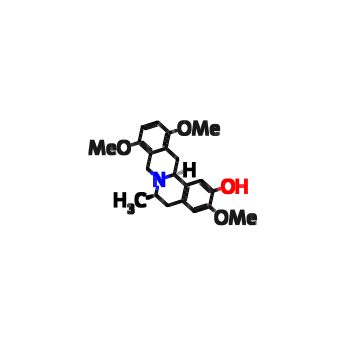 COc1cc2c(cc1O)[C@@H]1Cc3c(OC)ccc(OC)c3CN1[C@H](C)C2